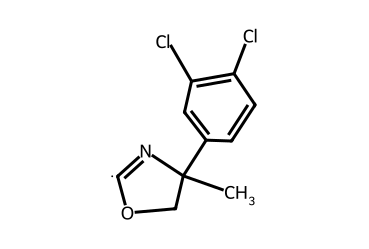 CC1(c2ccc(Cl)c(Cl)c2)CO[C]=N1